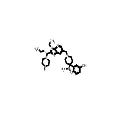 CCC[C@H](c1nc2cc(CN3CCC(c4cccc(O)c4)(N(C)C)CC3)cnc2n1CC)N1CCNCC1